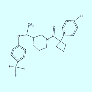 CC(Oc1ccc(C(F)(F)F)cc1)C1CCCN(C(=O)C2(c3ccc(Cl)cc3)CCC2)C1